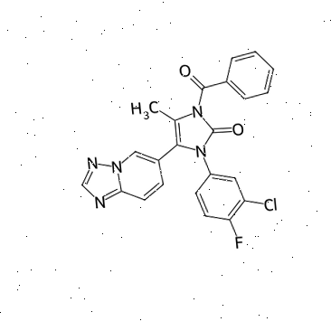 Cc1c(-c2ccc3ncnn3c2)n(-c2ccc(F)c(Cl)c2)c(=O)n1C(=O)c1ccccc1